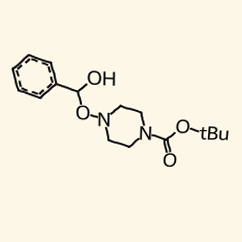 CC(C)(C)OC(=O)N1CCN(OC(O)c2ccccc2)CC1